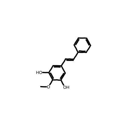 COc1c(O)cc(/C=C/c2ccccc2)cc1O